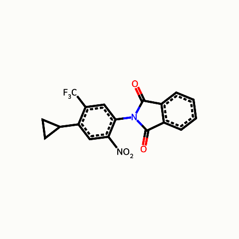 O=C1c2ccccc2C(=O)N1c1cc(C(F)(F)F)c(C2CC2)cc1[N+](=O)[O-]